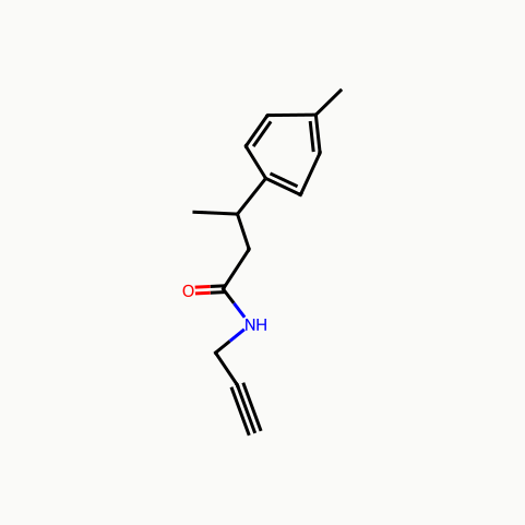 C#CCNC(=O)CC(C)c1ccc(C)cc1